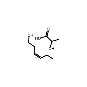 CC(O)C(=O)O.CC/C=C\CCO